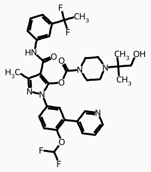 Cc1nn(-c2ccc(OC(F)F)c(-c3cccnc3)c2)c(OC(=O)N2CCN(C(C)(C)CO)CC2)c1C(=O)Nc1cccc(C(C)(F)F)c1